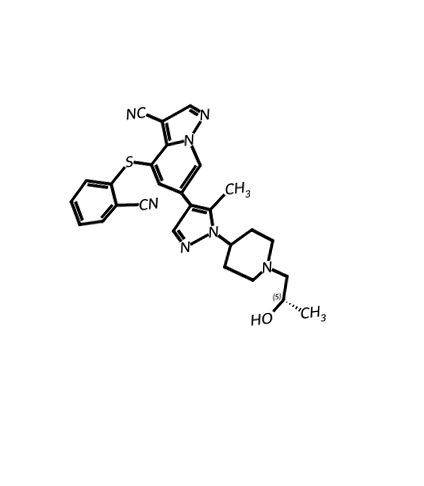 Cc1c(-c2cc(Sc3ccccc3C#N)c3c(C#N)cnn3c2)cnn1C1CCN(C[C@H](C)O)CC1